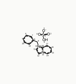 O=S(=O)([O-])O.c1ccc(C[n+]2ccn3ccccc32)cc1